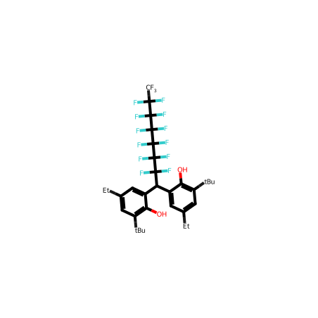 CCc1cc(C(c2cc(CC)cc(C(C)(C)C)c2O)C(F)(F)C(F)(F)C(F)(F)C(F)(F)C(F)(F)C(F)(F)C(F)(F)F)c(O)c(C(C)(C)C)c1